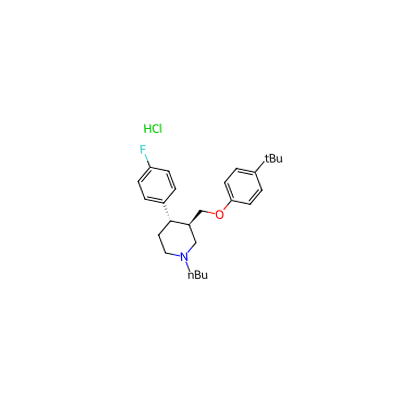 CCCCN1CC[C@H](c2ccc(F)cc2)[C@@H](COc2ccc(C(C)(C)C)cc2)C1.Cl